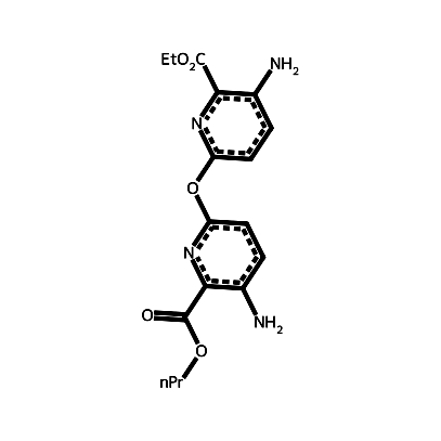 CCCOC(=O)c1nc(Oc2ccc(N)c(C(=O)OCC)n2)ccc1N